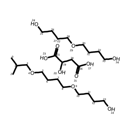 CC(C)COCCCCOCCCCO.O=C(O)CC(O)C(=O)O.OCCCCOCCCCO